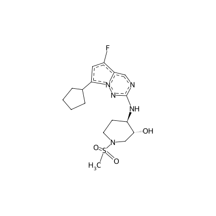 CS(=O)(=O)N1CC[C@@H](Nc2ncc3c(F)cc(C4CCCC4)n3n2)[C@H](O)C1